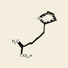 C=C(CCCc1ccco1)C(=O)O